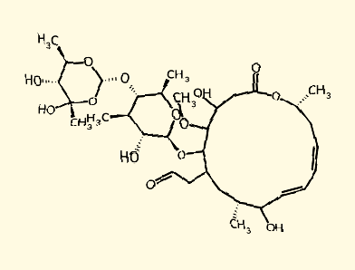 COC1C(O)CC(=O)O[C@H](C)C/C=C\C=C\C(O)[C@H](C)CC(CC=O)C1O[C@@H]1O[C@H](C)[C@@H](O[C@H]2O[C@H](C)[C@@H](O)[C@@](C)(O)O2)[C@H](C)[C@H]1O